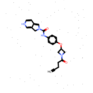 C#CCCC(=O)N1CC(Oc2ccc(NC(=O)N3C=C4C=CNC=C4C3)cc2)C1